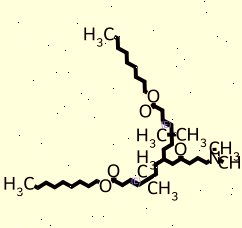 CCCCCCCCCOC(=O)C/C=C/C(C)(C)CCC(CCC(C)(C)/C=C/CC(=O)OCCCCCCCCC)CC(=O)CCCN(C)C